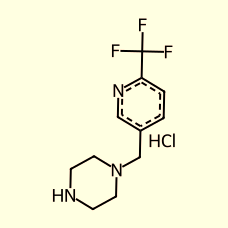 Cl.FC(F)(F)c1ccc(CN2CCNCC2)cn1